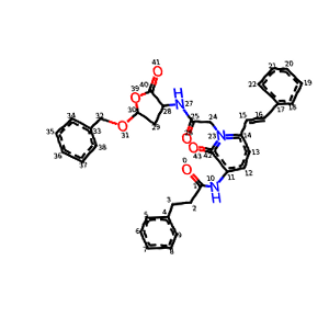 O=C(CCc1ccccc1)Nc1ccc(C=Cc2ccccc2)n(CC(=O)NC2CC(OCc3ccccc3)OC2=O)c1=O